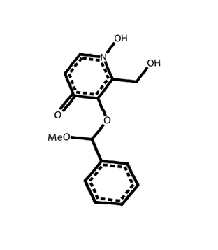 COC(Oc1c(CO)n(O)ccc1=O)c1ccccc1